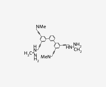 C=C(N)NCC#Cc1cc(C#CCNC)cc(-c2cccc(-c3cc(C#CCNC)cc(C#CCNC(=C)N)c3)c2)c1